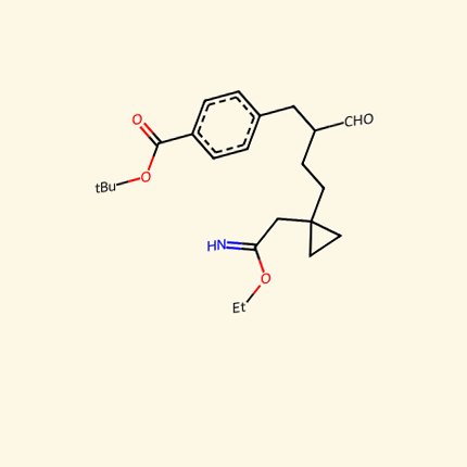 CCOC(=N)CC1(CCC(C=O)Cc2ccc(C(=O)OC(C)(C)C)cc2)CC1